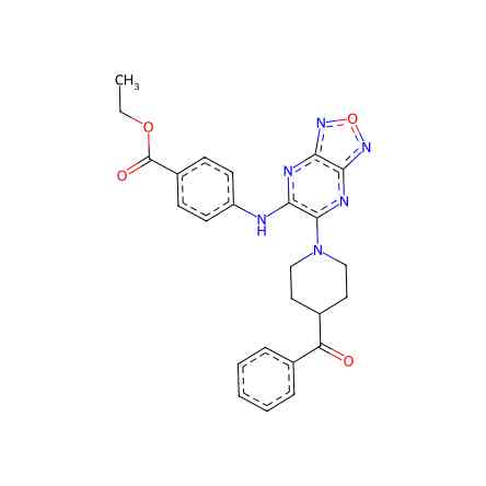 CCOC(=O)c1ccc(Nc2nc3nonc3nc2N2CCC(C(=O)c3ccccc3)CC2)cc1